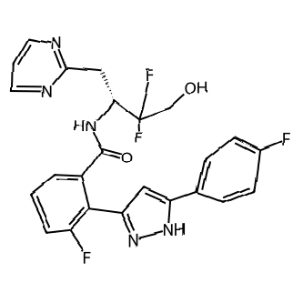 O=C(N[C@H](Cc1ncccn1)C(F)(F)CO)c1cccc(F)c1-c1cc(-c2ccc(F)cc2)[nH]n1